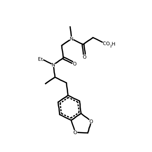 CCN(C(=O)CN(C)C(=O)CC(=O)O)C(C)Cc1ccc2c(c1)OCO2